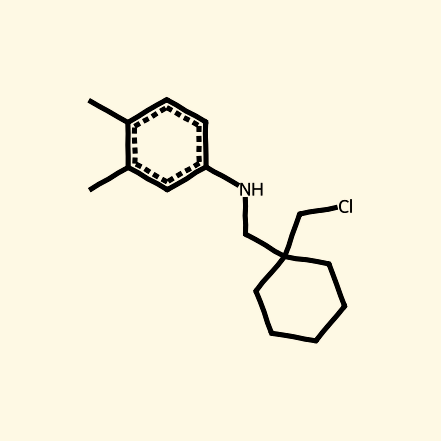 Cc1ccc(NCC2(CCl)CCCCC2)cc1C